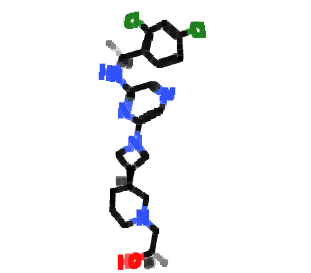 C[C@H](O)CN1CCC[C@@H](C2CN(c3cncc(N[C@H](C)c4ccc(Cl)cc4Cl)n3)C2)C1